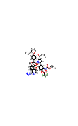 CCOc1cc([C@H](Oc2ccc3c(N)nccc3c2)C(=O)N2CCC[C@@H]2c2cc(N(OC(=O)C(F)(F)F)C(=O)OC)ccc2S(=O)(=O)C(C)C)ccc1OC(C)C